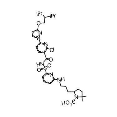 CC(C)C(COc1ccn(-c2ccc(C(=O)NS(=O)(=O)c3cccc(NCCCC4CCC(C)(C)N4C(=O)O)n3)c(Cl)n2)n1)C(C)C